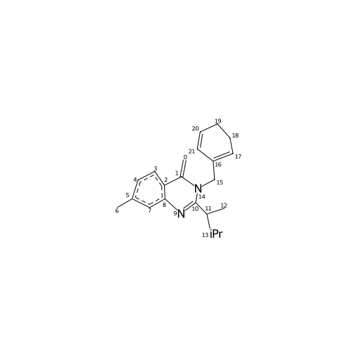 C=C1c2ccc(C)cc2N=C(C(C)C(C)C)N1CC1=CCCC=C1